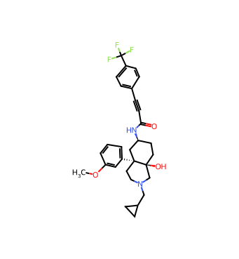 COc1cccc([C@@]23CCN(CC4CC4)C[C@@]2(O)CC[C@H](NC(=O)C#Cc2ccc(C(F)(F)F)cc2)C3)c1